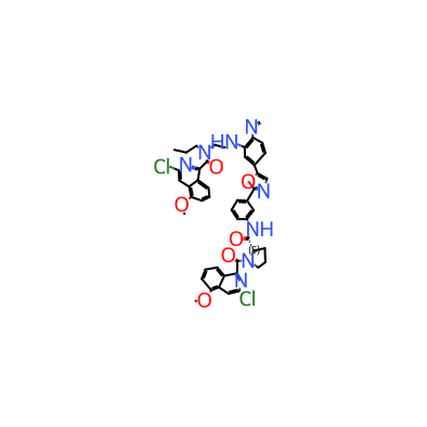 C=Nc1ccc(-c2cnc(-c3cccc(NC(=O)[C@@H]4CCCN4C(=O)c4nc(Cl)cc5c(OC)cccc45)c3)o2)cc1NCCN(CCC)C(=O)c1nc(Cl)cc2c(OC)cccc12